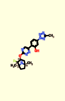 Cc1nnn(-c2ccc(-c3cnc(O[C@@H]4C[C@@]5(C)CC[C@](C)(N5)[C@H]4F)nn3)c(O)c2)n1